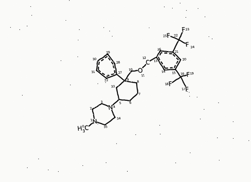 CN1CCN(C2CCCC(COCc3cc(C(F)(F)F)cc(C(F)(F)F)c3)(c3ccccc3)C2)CC1